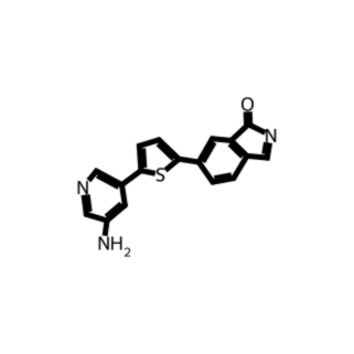 Nc1cncc(-c2ccc(-c3ccc4c(c3)C(=O)N=C4)s2)c1